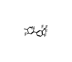 CC1C=NC(c2ccc(F)c(C(F)(F)F)c2)=CC1F